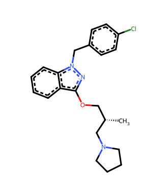 C[C@@H](COc1nn(Cc2ccc(Cl)cc2)c2ccccc12)CN1CCCC1